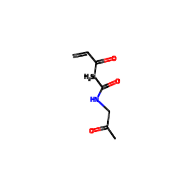 C=CC(=O)[SiH2]C(=O)NCC(C)=O